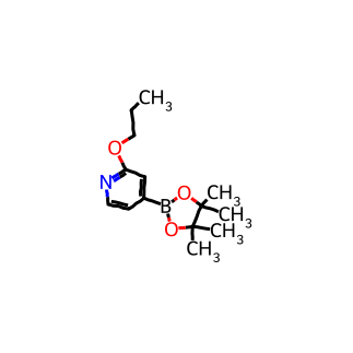 CCCOc1cc(B2OC(C)(C)C(C)(C)O2)ccn1